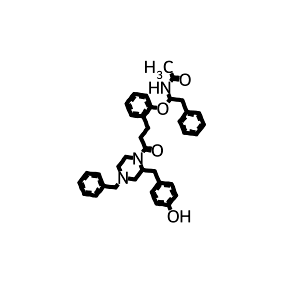 CC(=O)NC(Cc1ccccc1)Oc1ccccc1CCC(=O)N1CCN(Cc2ccccc2)CC1Cc1ccc(O)cc1